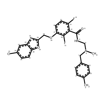 Cc1ccc(CN(C)CNC(=O)c2c(F)ccc(OCc3nc4cc(Cl)ccc4o3)c2F)cc1